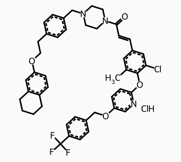 Cc1cc(C=CC(=O)N2CCN(Cc3ccc(CCOc4ccc5c(c4)CCCC5)cc3)CC2)cc(Cl)c1Oc1ccc(OCc2ccc(C(F)(F)F)cc2)cn1.Cl